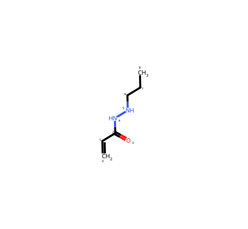 C=CC(=O)NNCCC